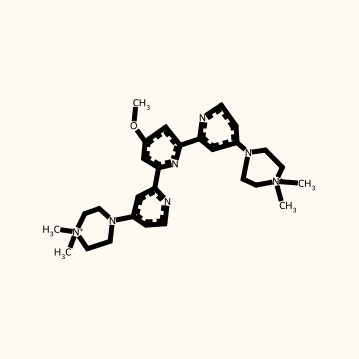 COc1cc(-c2cc(N3CC[N+](C)(C)CC3)ccn2)nc(-c2cc(N3CC[N+](C)(C)CC3)ccn2)c1